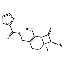 N[C@@H]1C(=O)N2C(C(=O)O)=C(CSC(=O)c3ccco3)CS[C@H]12